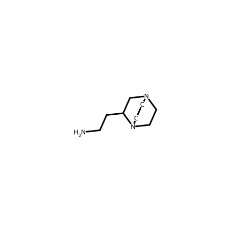 NCCC1CN2CCN1CC2